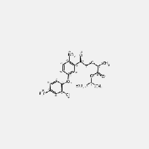 CCOC(=O)C(C)OC(=O)C(C)OCC(=O)c1cc(Oc2ccc(C(F)(F)F)cc2Cl)ccc1[N+](=O)[O-]